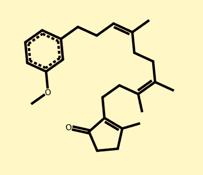 COc1cccc(CCC=C(C)CCC(C)=C(C)CCC2=C(C)CCC2=O)c1